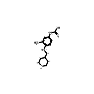 Nc1cc(NC(=O)O)ccc1NCC1CCOCC1